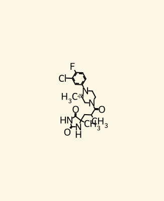 CC(CC1(C)NC(=O)NC1=O)C(=O)N1CCN(c2ccc(F)c(Cl)c2)[C@@H](C)C1